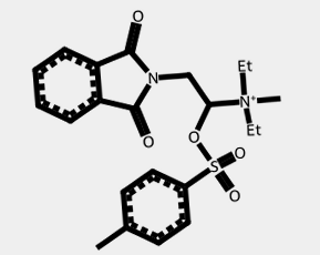 CC[N+](C)(CC)C(CN1C(=O)c2ccccc2C1=O)OS(=O)(=O)c1ccc(C)cc1